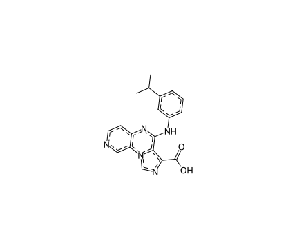 CC(C)c1cccc(Nc2nc3ccncc3n3cnc(C(=O)O)c23)c1